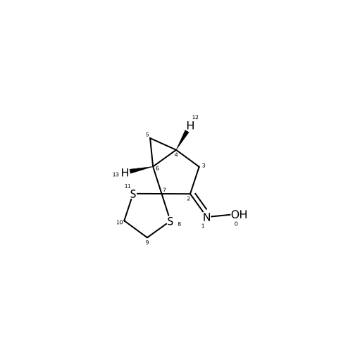 O/N=C1\C[C@H]2C[C@H]2C12SCCS2